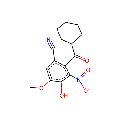 COc1cc(C#N)c(C(=O)C2CCCCC2)c([N+](=O)[O-])c1O